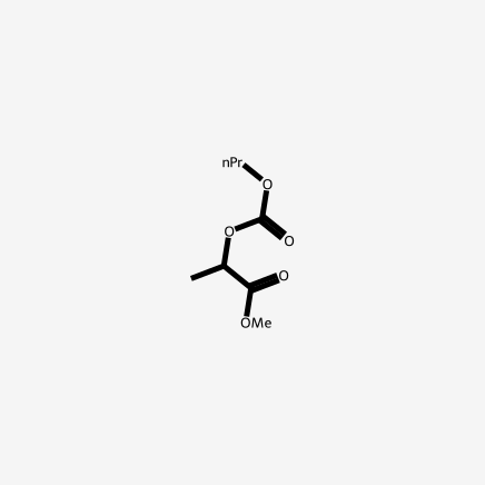 CCCOC(=O)OC(C)C(=O)OC